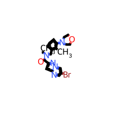 CCN(Cc1cccc(N2CCOCC2)c1C)C(=O)c1cc2ncc(Br)cn2n1